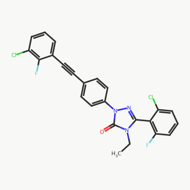 CCn1c(-c2c(F)cccc2Cl)nn(-c2ccc(C#Cc3cccc(Cl)c3F)cc2)c1=O